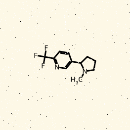 CN1CCCC1c1ccc(C(F)(F)F)nc1